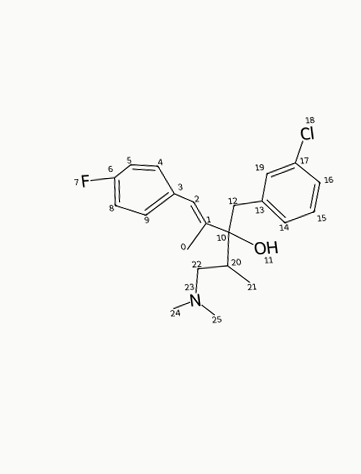 C/C(=C\c1ccc(F)cc1)C(O)(Cc1cccc(Cl)c1)C(C)CN(C)C